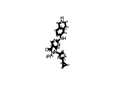 CC(C)n1c(=O)c2cnc(Nc3ccc4c(c3)CCNC4)nc2n1-c1csc(C2CC2)n1